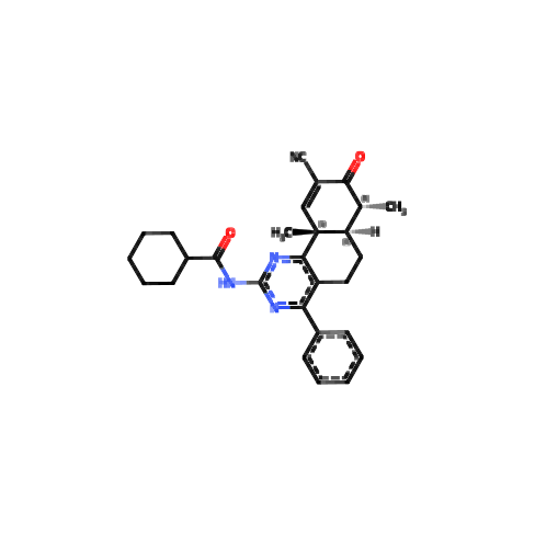 C[C@H]1C(=O)C(C#N)=C[C@@]2(C)c3nc(NC(=O)C4CCCCC4)nc(-c4ccccc4)c3CC[C@H]12